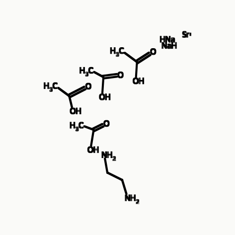 CC(=O)O.CC(=O)O.CC(=O)O.CC(=O)O.NCCN.[NaH].[NaH].[Sr]